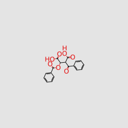 O=C(OC(C(=O)O)C(C(=O)O)C(=O)c1ccccc1)c1ccccc1